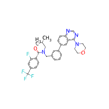 CC(C)CN(Cc1cccc(-c2ccc3ncnc(N4CCOCC4)c3c2)c1)C(=O)c1ccc(C(F)(F)F)cc1F